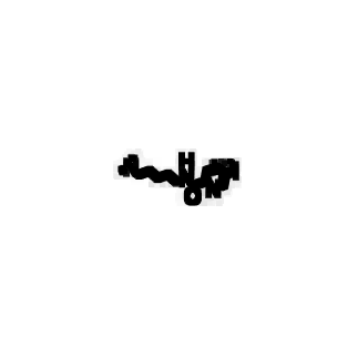 CN(C)CCCCCNC(=O)c1ccc([123I])cn1